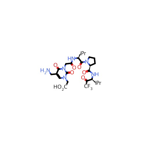 CC(C)[C@H](NC(=O)Cn1c(=O)c(CN)cn(CC(=O)O)c1=O)C(=O)N1CCC[C@H]1C(=O)N[C@H](C(=O)C(F)(F)F)C(C)C